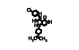 CN(C)C1CCC(Nc2cc[nH]c(=O)c2C(=N)Nc2ccc(Cl)cc2)CC1